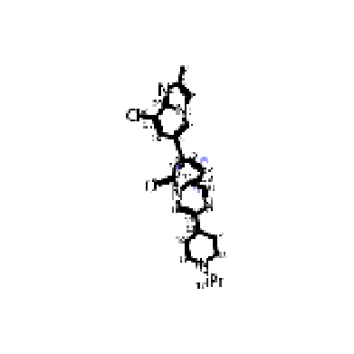 Cc1cn2cc(C3=C\C(=O)N4C=C(C5CCN(C(C)C)CC5)N=C\C4=C/C=C/3)cc(Cl)c2n1